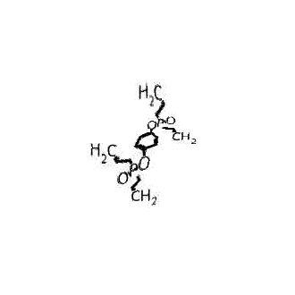 C=CCP(=O)(CC=C)Oc1ccc(OP(=O)(CC=C)CC=C)cc1